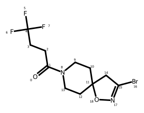 O=C(CCC(F)(F)F)N1CCC2(CC1)CC(Br)=NO2